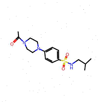 CC(=O)N1CCN(c2ccc(S(=O)(=O)NCC(C)C)cc2)CC1